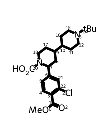 COC(=O)c1ccc(C2CC(C3CCN(C(C)(C)C)CC3)CCN2C(=O)O)cc1Cl